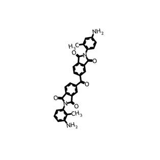 Cc1cc(N)ccc1N1C(=O)c2ccc(C(=O)c3ccc4c(c3)C(=O)N(c3cccc(N)c3C)C4=O)cc2C1=O